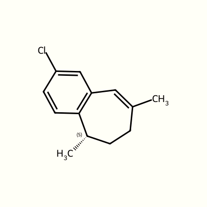 CC1=Cc2cc(Cl)ccc2[C@@H](C)CC1